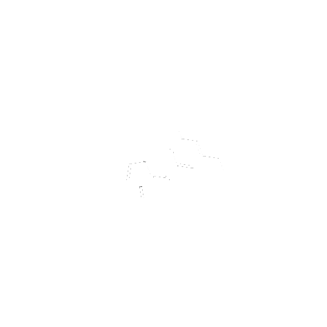 CC1=C(C)C(=O)N(Nc2cc(CF)cc(C)n2)C1=O